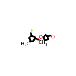 Cc1cc(CF)cc([C@@H](C)O[C@@H]2C=C(C=O)CC2)c1